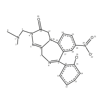 CN(C)CN1N=C2CN=C(c3ccccc3Cl)c3cc([N+](=O)[O-])ccc3N2CC1=O